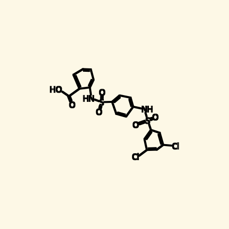 O=C(O)c1ccccc1NS(=O)(=O)c1ccc(NS(=O)(=O)c2cc(Cl)cc(Cl)c2)cc1